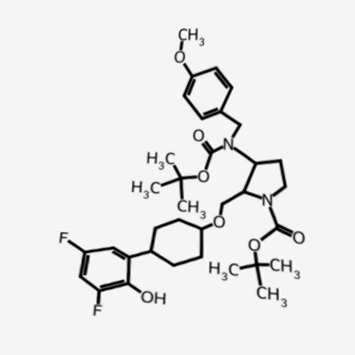 COc1ccc(CN(C(=O)OC(C)(C)C)C2CCN(C(=O)OC(C)(C)C)C2COC2CCC(c3cc(F)cc(F)c3O)CC2)cc1